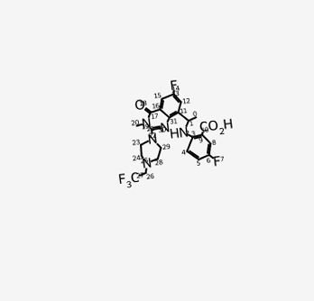 CC(Nc1ccc(F)cc1C(=O)O)c1cc(F)cc2c(=O)n(C)c(N3CCN(CC(F)(F)F)CC3)nc12